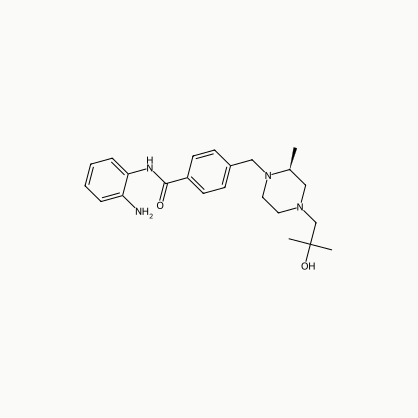 C[C@H]1CN(CC(C)(C)O)CCN1Cc1ccc(C(=O)Nc2ccccc2N)cc1